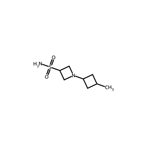 CC1CC(N2CC(S(N)(=O)=O)C2)C1